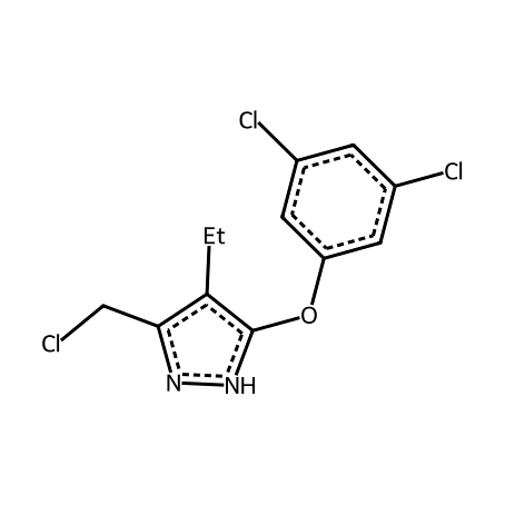 CCc1c(CCl)n[nH]c1Oc1cc(Cl)cc(Cl)c1